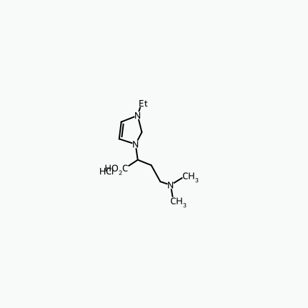 CCN1C=CN(C(CCN(C)C)C(=O)O)C1.Cl